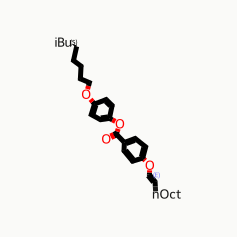 CCCCCCCC/C=C/Oc1ccc(C(=O)Oc2ccc(OCCCCC[C@@H](C)CC)cc2)cc1